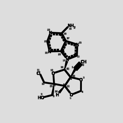 C#C[C@@]12OCO[C@@H]1[C@](CO)(CCl)O[C@H]2n1cnc2c(N)ncnc21